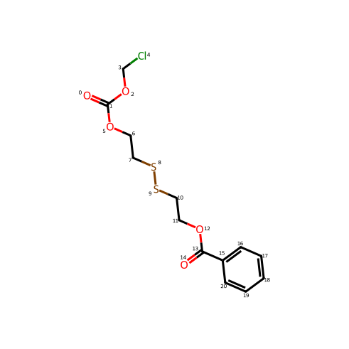 O=C(OCCl)OCCSSCCOC(=O)c1ccccc1